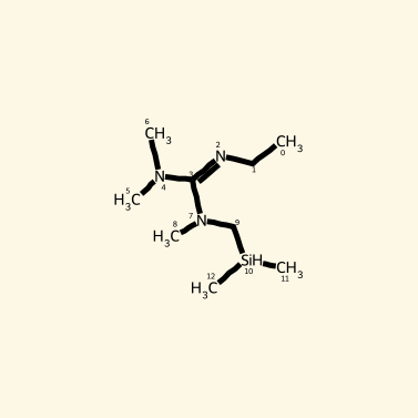 CCN=C(N(C)C)N(C)C[SiH](C)C